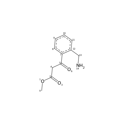 COC(=O)CC(=O)c1ccccc1CN